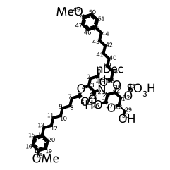 CCCCCCCCCCCCC(OC(=O)CCCCCCCc1ccc(OC)cc1)C(=O)N[C@H]1C(O)O[C@H](CO)[C@@H](OS(=O)(=O)O)[C@@H]1OC(=O)CCCCCCCc1ccc(OC)cc1